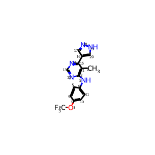 Cc1c(Nc2ccc(OC(F)(F)F)cc2)ncnc1-c1cn[nH]c1